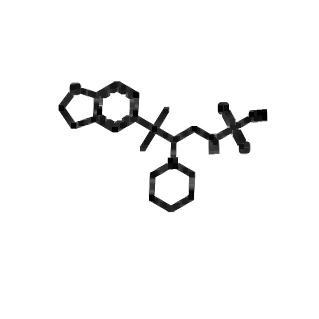 CC(C)(c1ccc2c(c1)CCO2)C(CNS(=O)(=O)O)N1CCCCC1